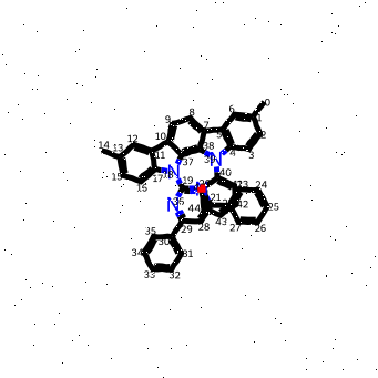 Cc1ccc2c(c1)c1ccc3c4cc(C)ccc4n(-c4nc(-c5ccccc5)cc(-c5ccccc5)n4)c3c1n2-c1ccccc1